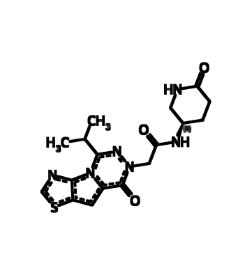 CC(C)c1nn(CC(=O)N[C@@H]2CCC(=O)NC2)c(=O)c2cc3scnc3n12